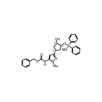 CC(C)(C)n1nc([C@H]2C[C@@H](O)[C@@H](O[Si](c3ccccc3)(c3ccccc3)C(C)(C)C)C2)cc1NC(=O)OCc1ccccc1